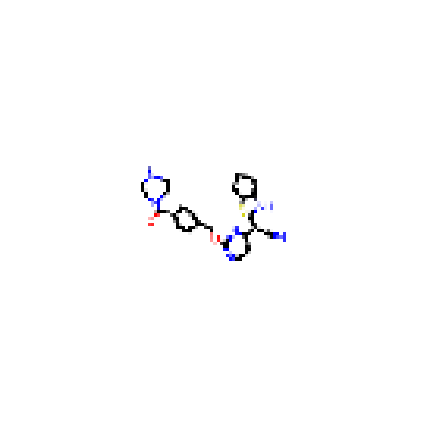 CN1CCN(C(=O)c2ccc(COc3nccc(C(C#N)=C4Nc5ccccc5S4)n3)cc2)CC1